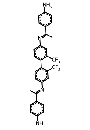 C/C(=N\c1ccc(-c2ccc(/N=C(\C)c3ccc(N)cc3)cc2C(F)(F)F)c(C(F)(F)F)c1)c1ccc(N)cc1